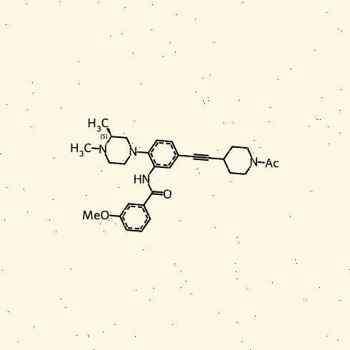 COc1cccc(C(=O)Nc2cc(C#CC3CCN(C(C)=O)CC3)ccc2N2CCN(C)[C@@H](C)C2)c1